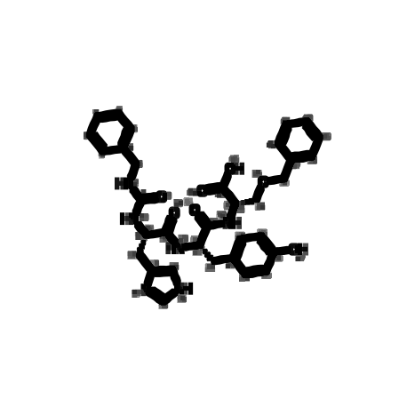 O=C(NCc1ccccc1)N[C@@H](Cc1c[nH]cn1)C(=O)N[C@@H](Cc1ccc(O)cc1)C(=O)N[C@@H](COCc1ccccc1)C(=O)O